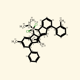 CC1=Cc2c(-c3ccccc3)cc(C)cc2[CH]1[Zr]([Cl])([Cl])([CH]1C(C(C)C)=Cc2c(-c3ccccc3C)cccc21)[SiH](C)C